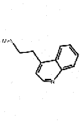 CNCCc1ccnc2ccccc12